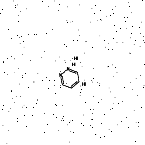 I.I.I.c1ccnnc1